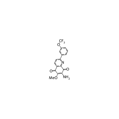 COC1=C(N)C(=O)c2nc(-c3cccc(OC(F)(F)F)c3)ccc2C1=O